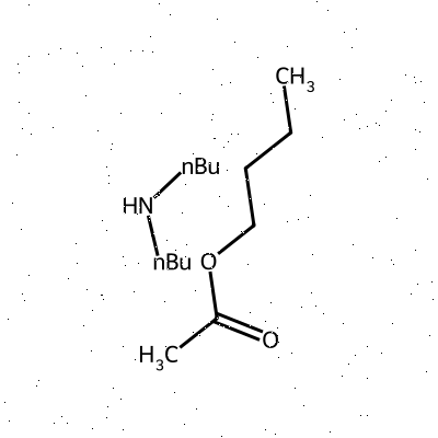 CCCCNCCCC.CCCCOC(C)=O